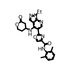 CCn1ncc2c(NC3CCOC(=O)C3)c(-c3nc(C(=O)Nc4c(C)cccc4C)co3)cnc21